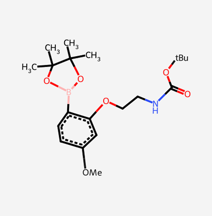 COc1ccc(B2OC(C)(C)C(C)(C)O2)c(OCCNC(=O)OC(C)(C)C)c1